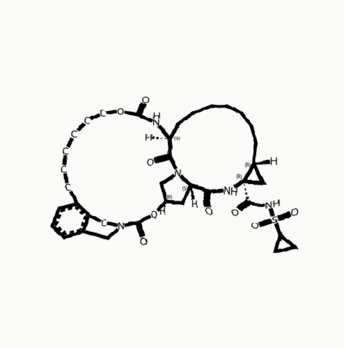 O=C1N[C@H]2CCCCCCC[C@@H]3C[C@@]3(C(=O)NS(=O)(=O)C3CC3)NC(=O)[C@@H]3C[C@H](CN3C2=O)OC(=O)N2Cc3cccc(c3C2)CCCCCCO1